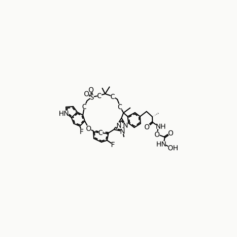 C[C@@H](Cc1cccc(C2(C)CCCC(C)(C)CS(=O)(=O)CCc3c(c(F)cc4[nH]ccc34)Oc3ccc(F)c(c3)-c3nc2nn3C)c1)C(=O)NOC(=O)NO